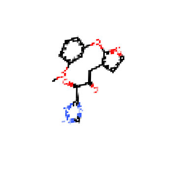 COc1cccc(Oc2occc2CC(=O)C(=O)c2nc[nH]n2)c1